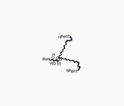 CCCCC/C=C\C/C=C\CCCCCCCCC1(CCCCCCCC/C=C\C/C=C\CCCCC)O[C@@H]([C@H](O)[C@H](O)CNC)[C@@H](CC)O1